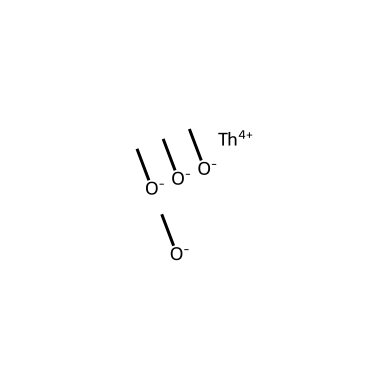 C[O-].C[O-].C[O-].C[O-].[Th+4]